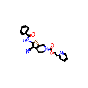 N#Cc1c(NC(=O)c2ccccc2)sc2c1CCN(C(=O)OCCc1ccccn1)C2